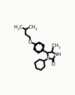 CC(C)CCOc1ccc(C2C(C)NC(=O)N2C2CCCCC2)cc1